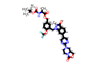 CC(NC(=O)OC(C)(C)C)C(=O)OCc1ccc(OC(F)F)c(Cn2c3cc(-c4cnc(N5CCN6C(=O)OCC6C5)nc4)ccc3c(=O)n2C)c1